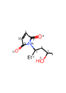 CCC(CC(C)O)N1C(=O)C=CC1=O